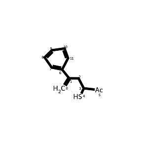 C=C(CC(S)C(C)=O)c1ccccc1